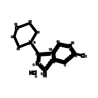 Cl.Clc1cc2[nH]nc(N3CCOCC3)c2cn1